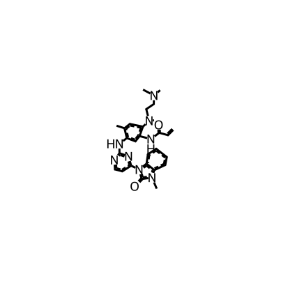 C=CC(=O)Nc1cc(Nc2nccc(-n3c(=O)n(C)c4ccccc43)n2)c(C)cc1N(C)CCN(C)C